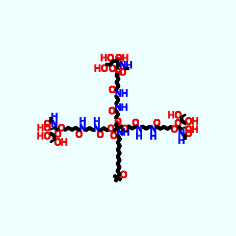 CC(=O)NC1C(OCCCCC(=O)NCCCNC(=O)CCOCC(COCCC(=O)NCCCNC(=O)CCCCOC(OC(CO)[C@H](C)O)[C@H](CO)NC(C)=O)(COCCC(=O)NCCCNC(=O)CCCCOC(OC(CO)[C@H](C)O)[C@H](CO)NC(C)=O)NC(=O)CCCCCCCCCCC(=O)C(C)(C)C)OC(CO)C(O)C1O